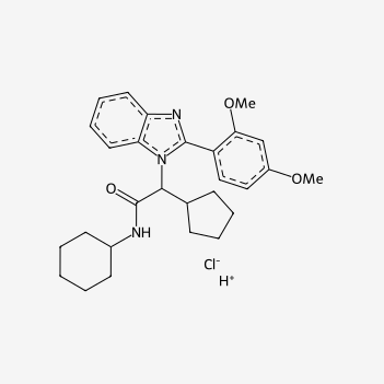 COc1ccc(-c2nc3ccccc3n2C(C(=O)NC2CCCCC2)C2CCCC2)c(OC)c1.[Cl-].[H+]